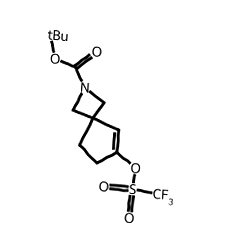 CC(C)(C)OC(=O)N1CC2(C=C(OS(=O)(=O)C(F)(F)F)CC2)C1